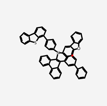 c1ccc(-c2cccc(-c3c(N(c4ccc(-c5cccc6c5sc5ccccc56)cc4)c4ccc5oc6ccccc6c5c4)c4ccccc4c4ccccc34)c2)cc1